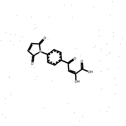 O=C(O)/C(O)=C\C(=O)c1ccc(N2C(=O)C=CC2=O)cc1